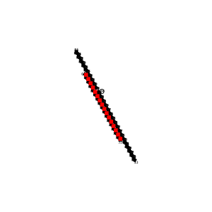 CCCCCCCCCCCCCCCCCCCCCCCCCCCCCCCCC.CCCCCCCCCCCCCCCCCCCCCCCCCCCCCCCCC(=O)OCCCCCCCCCCCCCCCCCCC